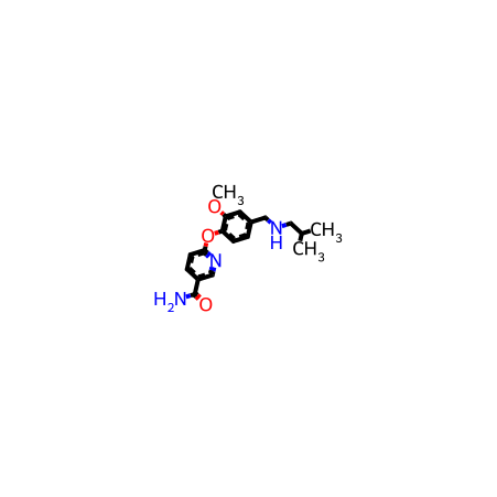 COc1cc(CNCC(C)C)ccc1Oc1ccc(C(N)=O)cn1